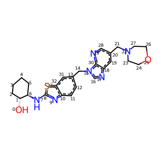 O[C@@H]1CCCC[C@H]1Nc1nc2ccc(Cn3cnc4cc(CN5CCOCC5)cnc43)cc2s1